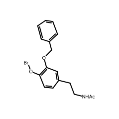 CC(=O)NCCc1ccc(OBr)c(OCc2ccccc2)c1